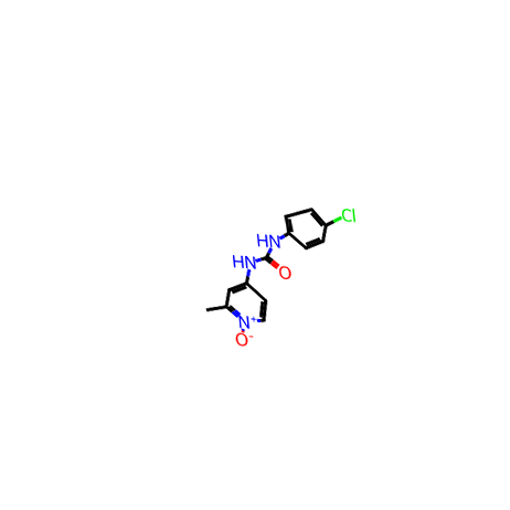 Cc1cc(NC(=O)Nc2ccc(Cl)cc2)cc[n+]1[O-]